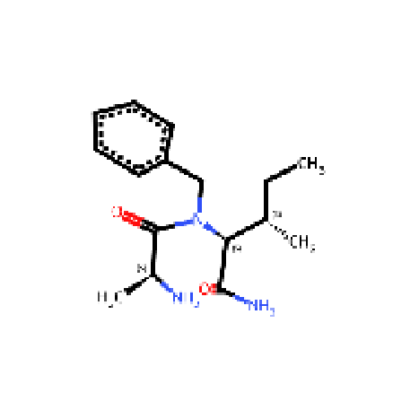 CC[C@H](C)[C@@H](C(N)=O)N(Cc1ccccc1)C(=O)[C@H](C)N